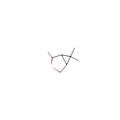 CC(C)(C)C1OCC2C1C2(C)C